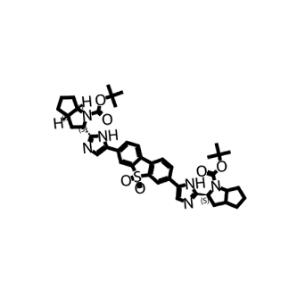 CC(C)(C)OC(=O)N1C2CCCC2C[C@H]1c1ncc(-c2ccc3c(c2)S(=O)(=O)c2cc(-c4cnc([C@@H]5C[C@@H]6CCC[C@@H]6N5C(=O)OC(C)(C)C)[nH]4)ccc2-3)[nH]1